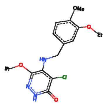 CCOc1cc(CNc2c(OC(C)C)n[nH]c(=O)c2Cl)ccc1OC